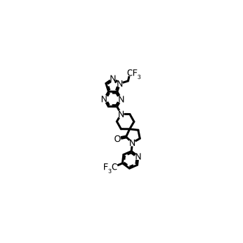 O=C1N(c2cc(C(F)(F)F)ccn2)CCC12CCN(c1cnc3cnn(CC(F)(F)F)c3n1)CC2